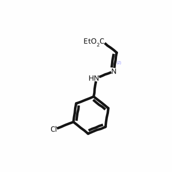 CCOC(=O)/C=N\Nc1cccc(Cl)c1